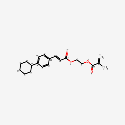 C=C(C)C(=O)OCCOC(=O)/C=C/c1ccc(C2CCCCC2)cc1